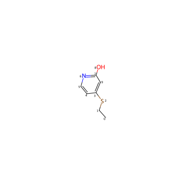 CCSc1ccnc(O)c1